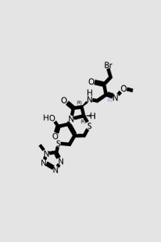 CO/N=C(/CN[C@@H]1C(=O)N2C(C(=O)O)=C(CSc3nnnn3C)CS[C@H]12)C(=O)CBr